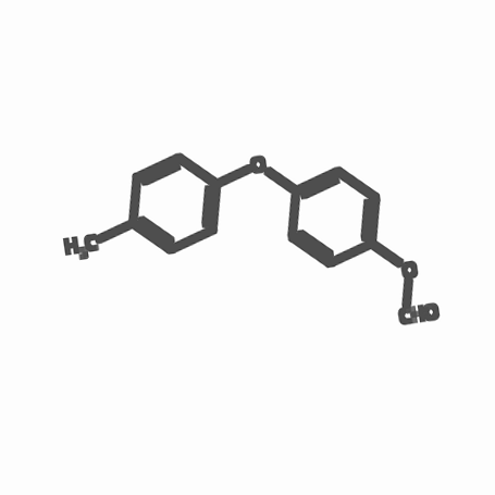 Cc1ccc(Oc2ccc(OC=O)cc2)cc1